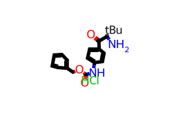 CC(C)(C)C(N)C(=O)c1ccc(NC(=O)OCc2ccccc2)cc1.Cl